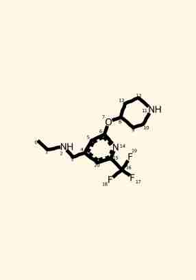 CCNCc1cc(OC2CCNCC2)nc(C(F)(F)F)c1